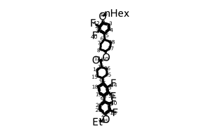 CCCCCCOc1ccc(C2CCC(OC(=O)C3CCC(c4ccc(-c5ccc(OCC)c(F)c5F)c(F)c4F)CC3)CC2)c(F)c1F